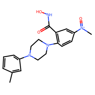 Cc1cccc(N2CCN(c3ccc([N+](C)=O)cc3C(=O)NO)CC2)c1